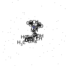 C#C[C@]1(COC(=O)CC(C)(C)c2c(C)cc(C)cc2OC(C)=O)O[C@@H](n2cnc3/c(=N/Cc4oc(=O)oc4C)n(Cc4oc(=O)oc4C)c(F)nc32)C[C@@H]1O